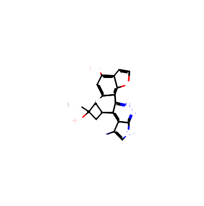 Cc1cc(O)c2ccoc2c1-c1nnc2[nH]cc(I)c2c1C1CC(C)(O)C1